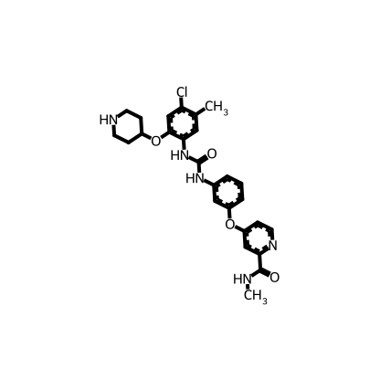 CNC(=O)c1cc(Oc2cccc(NC(=O)Nc3cc(C)c(Cl)cc3OC3CCNCC3)c2)ccn1